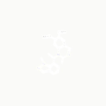 COc1cc2c(cc1OC)N(C(C)c1cccc3cnn(C)c13)C(C)N=C2